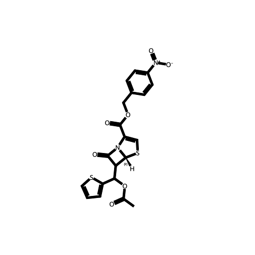 CC(=O)OC(c1cccs1)C1C(=O)N2C(C(=O)OCc3ccc([N+](=O)[O-])cc3)=CS[C@H]12